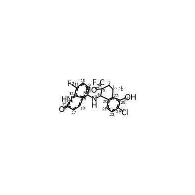 C[C@H]1C[C@@](O)(C(F)(F)F)[C@H](Nc2ccc(F)c3[nH]c(=O)ccc23)c2ccc(Cl)c(O)c21